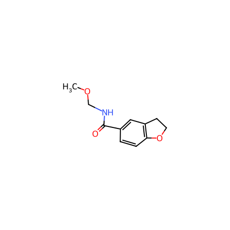 COCNC(=O)c1ccc2c(c1)CCO2